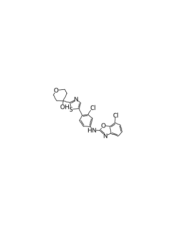 OC1(c2ncc(-c3ccc(Nc4nc5cccc(Cl)c5o4)cc3Cl)s2)CCOCC1